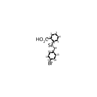 O=C(O)c1ccccc1[Se]Cc1ccc(Br)cc1